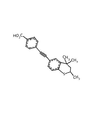 CC1CC(C)(C)c2cc(C#Cc3ccc(C(=O)O)cc3)ccc2S1